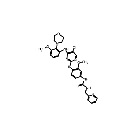 COc1cc(NC(=O)NCc2ccccn2)ccc1Nc1ncc(Cl)c(Nc2cccc(OC)c2N2CCOCC2)n1